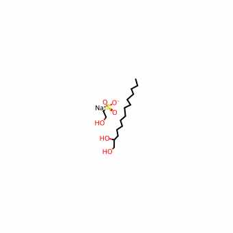 CCCCCCCCCCCCC(O)CO.O=S(=O)([O-])CCO.[Na+]